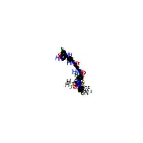 CC1(C)C(=O)N(c2ccc(C#N)c(C(F)(F)F)c2)C(=S)N1c1ccc(C(=O)NCCCCC(=O)NCc2ccc(-c3[nH]c4cc(F)cc5c4c3CCNC5=O)cc2)c(F)c1